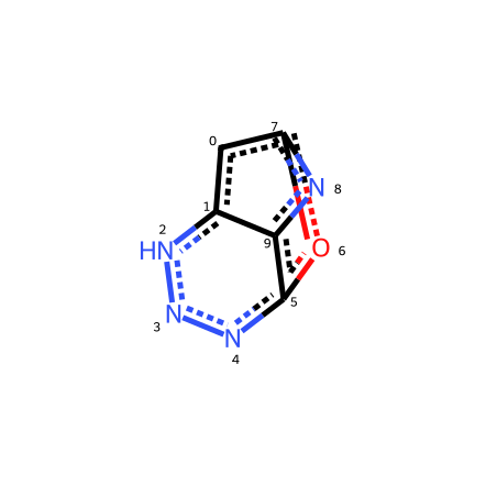 c1c2[nH]nnc3oc1nc3-2